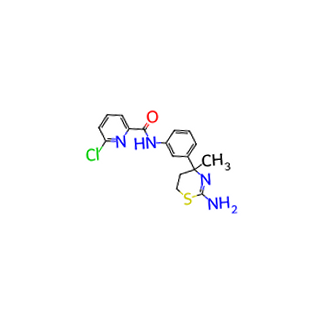 CC1(c2cccc(NC(=O)c3cccc(Cl)n3)c2)CCSC(N)=N1